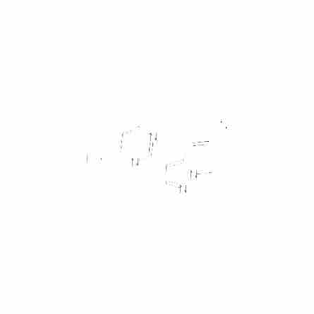 Cc1ccnc(-c2cnn3ccc(C#N)cc23)n1